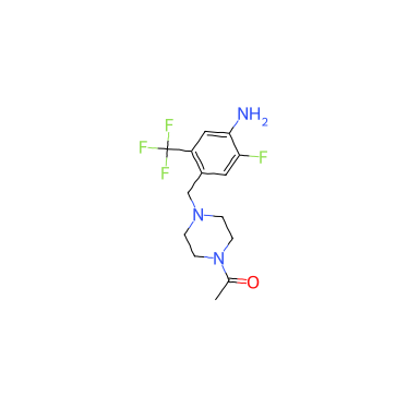 CC(=O)N1CCN(Cc2cc(F)c(N)cc2C(F)(F)F)CC1